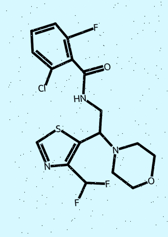 O=C(NCC(c1scnc1C(F)F)N1CCOCC1)c1c(F)cccc1Cl